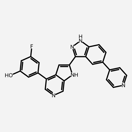 Oc1cc(F)cc(-c2cncc3[nH]c(-c4n[nH]c5ccc(-c6ccncc6)cc45)cc23)c1